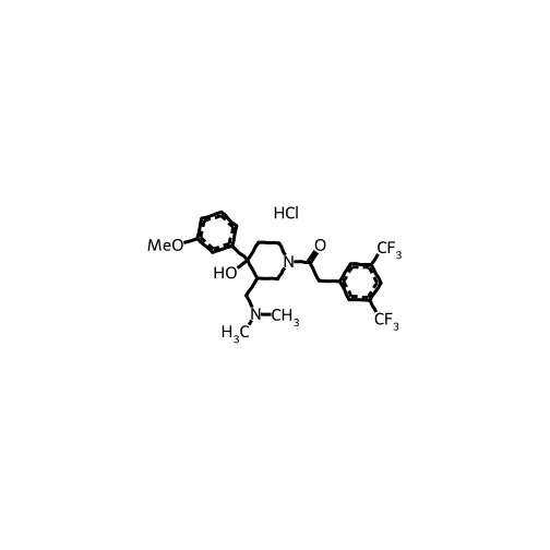 COc1cccc(C2(O)CCN(C(=O)Cc3cc(C(F)(F)F)cc(C(F)(F)F)c3)CC2CN(C)C)c1.Cl